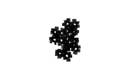 c1ccc([Si](c2ccccc2)(c2ccccc2)c2ccc(-c3cc(-n4c5ccccc5c5ccccc54)nc(-n4c5ccccc5c5ccc6c(c7ccccc7n6-c6cccc([Si](c7ccccc7)(c7ccccc7)c7ccccc7)c6)c54)n3)cc2)cc1